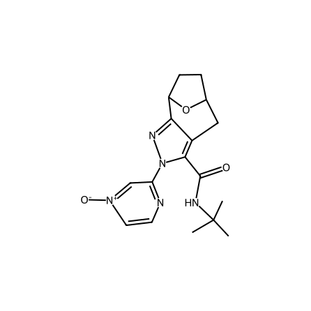 CC(C)(C)NC(=O)c1c2c(nn1-c1c[n+]([O-])ccn1)C1CCC(C2)O1